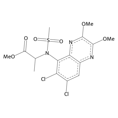 COC(=O)C(C)N(c1c(Cl)c(Cl)cc2nc(OC)c(OC)nc12)S(C)(=O)=O